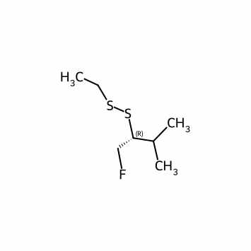 CCSS[C@@H](CF)C(C)C